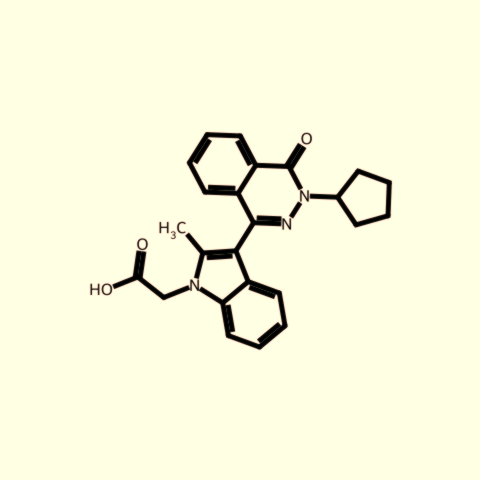 Cc1c(-c2nn(C3CCCC3)c(=O)c3ccccc23)c2ccccc2n1CC(=O)O